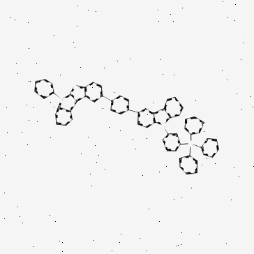 c1ccc(-n2c3ccccc3c3c4cc(-c5ccc(-c6ccc7c(c6)c6ccccc6n7-c6cccc([Si](c7ccccc7)(c7ccccc7)c7ccccc7)c6)cc5)ccc4oc32)cc1